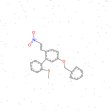 CSc1ccccc1-c1cc(OCc2ccccc2)ccc1C=C[N+](=O)[O-]